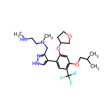 CNCCN(C)Cc1n[nH]cc1-c1cc(C(F)(F)F)c(OCC(C)C)cc1OC1CCOC1